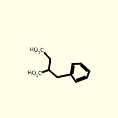 O=C(O)CC([CH]c1ccccc1)C(=O)O